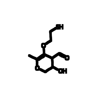 CC1=C(OCCS)C(C=O)C(O)CO1